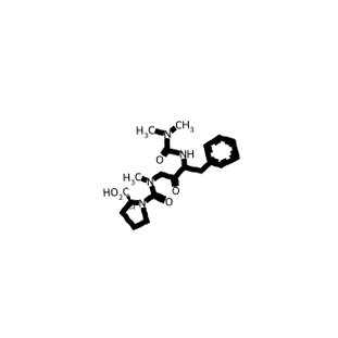 CN(C)C(=O)NC(Cc1ccccc1)C(=O)CN(C)C(=O)N1CCC[C@H]1C(=O)O